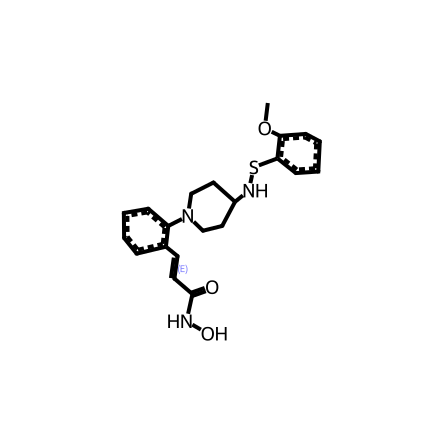 COc1ccccc1SNC1CCN(c2ccccc2/C=C/C(=O)NO)CC1